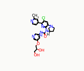 Cc1cc(-c2nc3c(cc2Cl)N2CC[C@@H](C2)N3C(=O)Nc2cncc(OC[C@@H](O)CO)c2)ccn1